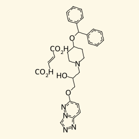 O=C(O)C=CC(=O)O.OC(COc1ccc2nncn2n1)CN1CCC(OC(c2ccccc2)c2ccccc2)CC1